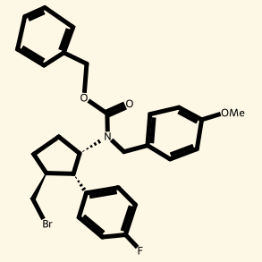 COc1ccc(CN(C(=O)OCc2ccccc2)[C@H]2CC[C@H](CBr)[C@H]2c2ccc(F)cc2)cc1